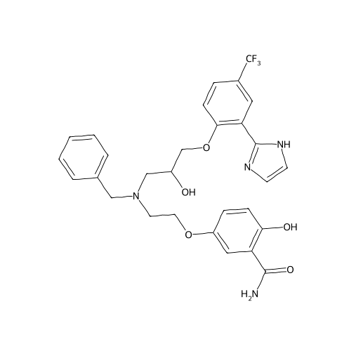 NC(=O)c1cc(OCCN(Cc2ccccc2)CC(O)COc2ccc(C(F)(F)F)cc2-c2ncc[nH]2)ccc1O